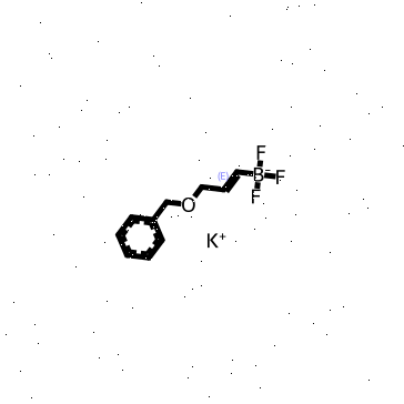 F[B-](F)(F)/C=C/COCc1ccccc1.[K+]